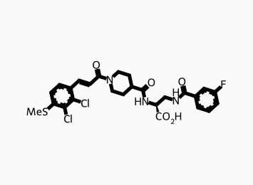 CSc1ccc(C=CC(=O)N2CCC(C(=O)N[C@@H](CNC(=O)c3cccc(F)c3)C(=O)O)CC2)c(Cl)c1Cl